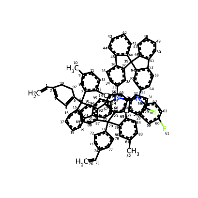 C=CC1=CC=C(C2(c3cc(C)ccc3C)c3ccccc3-c3ccc(N(c4ccc(F)cc4)c4ccc5c(c4)C4(c6ccccc6-5)c5ccccc5-c5ccc(N(c6ccc(F)cc6)c6ccc7c(c6)C(c6ccc(C=C)cc6)(c6cc(C)ccc6C)c6ccccc6-7)cc54)cc32)CC1